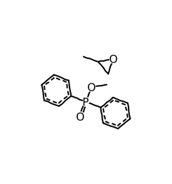 CC1CO1.COP(=O)(c1ccccc1)c1ccccc1